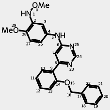 CONc1cc(Nc2cc(-c3ccccc3OCc3ccccc3)ncn2)ccc1OC